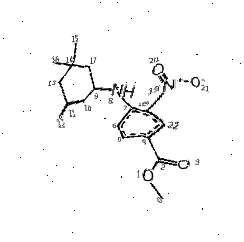 COC(=O)c1ccc(NC2CC(C)CC(C)(C)C2)c([N+](=O)[O-])c1